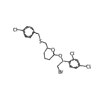 Clc1ccc(CSCC2CCCC(OC(CBr)c3ccc(Cl)cc3Cl)O2)cc1